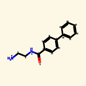 NCCNC(=O)c1ccc(-c2ccccc2)cc1